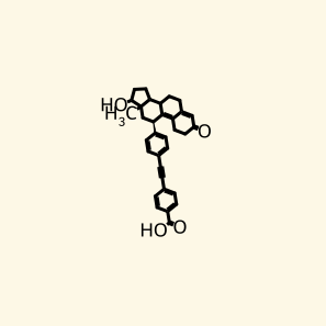 CC12C[C@H](c3ccc(C#Cc4ccc(C(=O)O)cc4)cc3)C3=C4CCC(=O)C=C4CCC3C1CCC2O